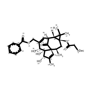 CCCCCCCCCCCC(=O)O[C@@]12C[C@@H](C)[C@]34C=C(C)[C@H](O)[C@@]3(O)[C@H](O)C(COC(=O)c3ccccc3)=C[C@H](C4=O)[C@@H]1C2(C)C